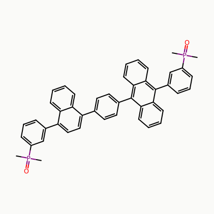 CP(C)(=O)c1cccc(-c2ccc(-c3ccc(-c4c5ccccc5c(-c5cccc(P(C)(C)=O)c5)c5ccccc45)cc3)c3ccccc23)c1